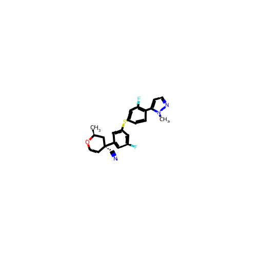 C[C@H]1C[C@@](C#N)(c2cc(F)cc(Sc3ccc(-c4ccnn4C)c(F)c3)c2)CCO1